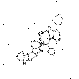 c1ccc(-n2c3ccccc3c3c2ccc2nc4ccccc4n23)c(-c2ncnc3oc4c(C5CCCCC5)cccc4c23)c1